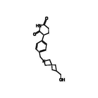 O=C1CCC(c2ccc(CN3CC4(CC(CO)C4)C3)cc2)C(=O)N1